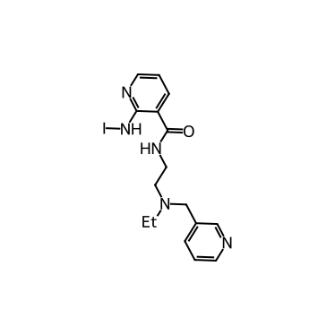 CCN(CCNC(=O)c1cccnc1NI)Cc1cccnc1